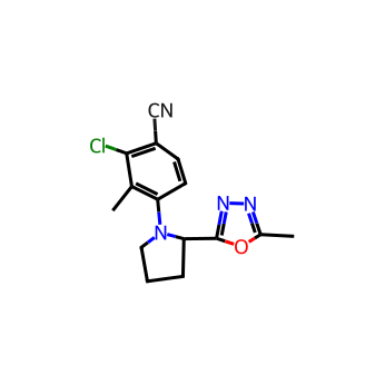 Cc1nnc(C2CCCN2c2ccc(C#N)c(Cl)c2C)o1